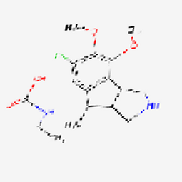 CCNC(=O)O.COc1c(Cl)cc2c(c1OC)C1CNCC1C2C